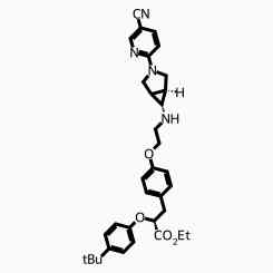 CCOC(=O)[C@H](Cc1ccc(OCCN[C@@H]2C3CN(c4ccc(C#N)cn4)C[C@H]32)cc1)Oc1ccc(C(C)(C)C)cc1